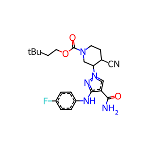 CC(C)(C)CCOC(=O)N1CCC(C#N)C(n2cc(C(N)=O)c(Nc3ccc(F)cc3)n2)C1